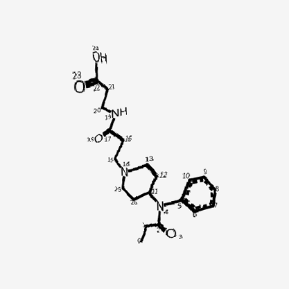 CCC(=O)N(c1ccccc1)C1CCN(CCC(=O)NCCC(=O)O)CC1